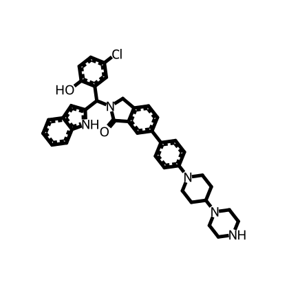 O=C1c2cc(-c3ccc(N4CCC(N5CCNCC5)CC4)cc3)ccc2CN1C(c1cc2ccccc2[nH]1)c1cc(Cl)ccc1O